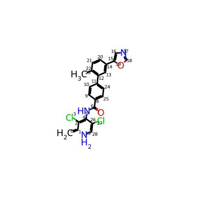 C=C/C(Cl)=C(NC(=O)c1ccc(-c2cc(-c3cnco3)ccc2C)cc1)\C(Cl)=C/N